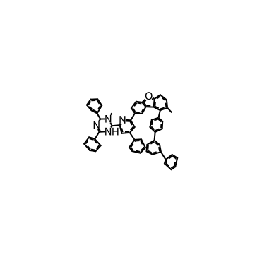 Cc1ccc2oc3ccc(-c4cc(-c5ccccc5)cc(C5NC(c6ccccc6)=NC(c6ccccc6)N5C)n4)cc3c2c1-c1ccc(-c2cccc(-c3ccccc3)c2)cc1